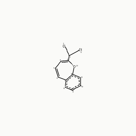 CCC(Cl)C1=CC=Cc2ccccc2O1